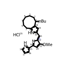 CCCCC1CCCCCCc2[nH]c(/C=C3\N=C(c4ccc[nH]4)C=C3OC)cc21.Cl